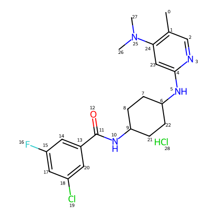 Cc1cnc(NC2CCC(NC(=O)c3cc(F)cc(Cl)c3)CC2)cc1N(C)C.Cl